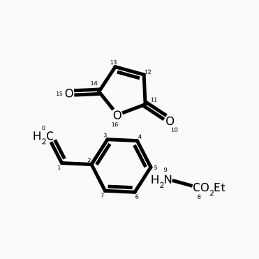 C=Cc1ccccc1.CCOC(N)=O.O=C1C=CC(=O)O1